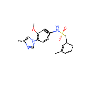 COc1cc(NS(=O)(=O)CC2C=C(C)C=CC2)ccc1-n1cnc(C)c1